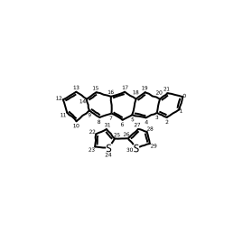 c1ccc2cc3cc4cc5ccccc5cc4cc3cc2c1.c1csc(-c2cccs2)c1